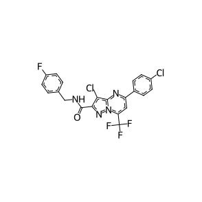 O=C(NCc1ccc(F)cc1)c1nn2c(C(F)(F)F)cc(-c3ccc(Cl)cc3)nc2c1Cl